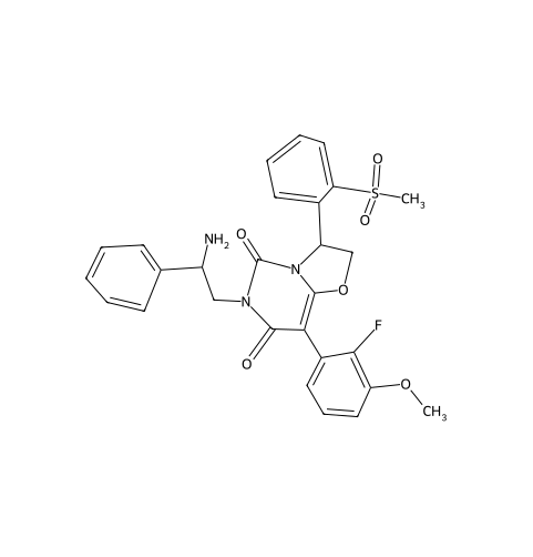 COc1cccc(-c2c3n(c(=O)n(CC(N)c4ccccc4)c2=O)C(c2ccccc2S(C)(=O)=O)CO3)c1F